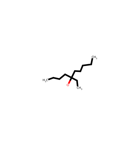 CCCCCC([O])(CC)CCCC